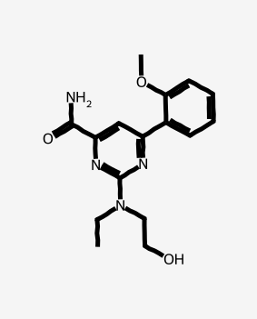 CCN(CCO)c1nc(C(N)=O)cc(-c2ccccc2OC)n1